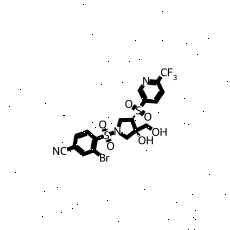 N#Cc1ccc(S(=O)(=O)N2C[C@H](S(=O)(=O)c3ccc(C(F)(F)F)nc3)[C@](O)(CO)C2)c(Br)c1